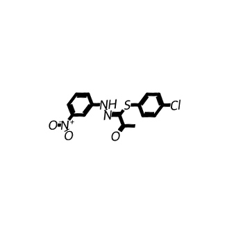 CC(=O)C(=NNc1cccc([N+](=O)[O-])c1)Sc1ccc(Cl)cc1